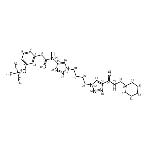 O=C(Cc1cccc(OC(F)(F)F)c1)Nc1cn(CCCCn2cc(C(=O)NCC3CCCCC3)nn2)nn1